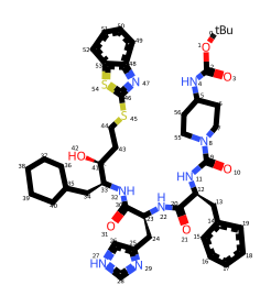 CC(C)(C)OC(=O)NC1CCN(C(=O)N[C@@H](Cc2ccccc2)C(=O)N[C@@H](Cc2c[nH]cn2)C(=O)N[C@@H](CC2CCCCC2)[C@@H](O)CCSc2nc3ccccc3s2)CC1